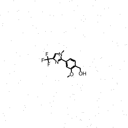 COc1cc(-c2nc(C(F)(F)F)cn2C)ccc1CO